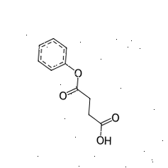 O=C(O)CCC(=O)Oc1ccccc1